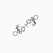 CC(C)(C)N=NC1(Oc2ccc(C(C)(C)c3ccc(OC4(N=NC(C)(C)C)CCCCC4)cc3)cc2)CCCCC1